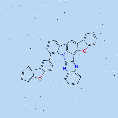 c1ccc2nc3c(nc2c1)c1c2oc4ccccc4c2cc2c4cccc(-c5ccc6oc7ccccc7c6c5)c4n3c21